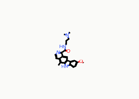 COc1ccc2[nH]c3c(C)c4ccnc(C(=O)NCCCN(C)C)c4cc3c2c1